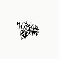 CCC(C)(C)C(OS(=O)(=O)C(F)(F)F)C(C)OS(=O)(=O)C(F)(F)F